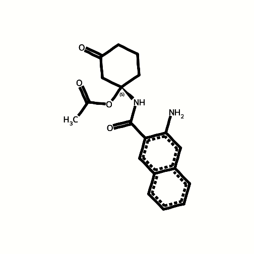 CC(=O)O[C@@]1(NC(=O)c2cc3ccccc3cc2N)CCCC(=O)C1